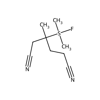 CC(CC#N)(CCC#N)S(C)(C)F